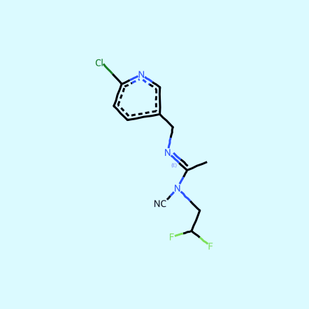 C/C(=N\Cc1ccc(Cl)nc1)N(C#N)CC(F)F